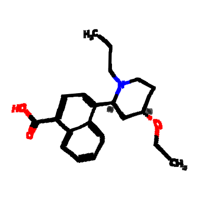 CCCN1CC[C@H](OCC)C[C@H]1c1ccc(C(=O)O)c2ccccc12